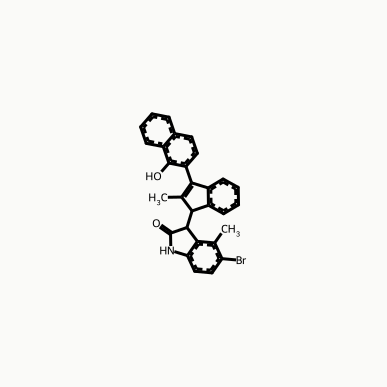 CC1=C(c2ccc3ccccc3c2O)c2ccccc2C1C1C(=O)Nc2ccc(Br)c(C)c21